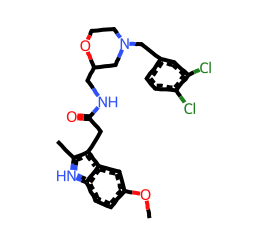 COc1ccc2[nH]c(C)c(CC(=O)NCC3CN(Cc4ccc(Cl)c(Cl)c4)CCO3)c2c1